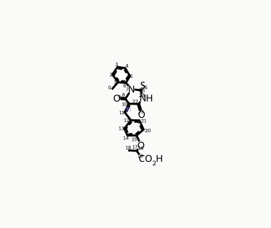 Cc1ccccc1N1C(=O)/C(=C/c2ccc(OC(C)C(=O)O)cc2)C(=O)NC1=S